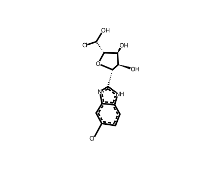 OC(Cl)[C@H]1O[C@@H](c2nc3cc(Cl)ccc3[nH]2)[C@H](O)[C@@H]1O